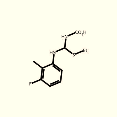 CCSC(NC(=O)O)Nc1cccc(F)c1C